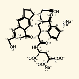 C#CCN([C@H]1CCC2=CC3N=C(CO)NC(=O)C3C=C21)N(CCCC(=O)N[C@@H](CC(C(=O)[O-])C(=O)[O-])C(=O)[O-])C(=O)c1ccccc1.[Na+].[Na+].[Na+]